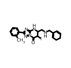 Cc1ccccc1-c1nc2n(n1)C(=O)C(I)C(CNCC1=CCCC=C1)N2